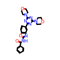 O=C(Nc1nc2cc(-c3nc(N4CCOCC4)nc(N4CCOCC4)n3)ccc2o1)c1ccccc1